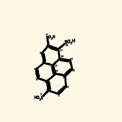 O=S(=O)(O)c1cc2ccc3c(S(=O)(=O)O)ccc4ccc(c1S(=O)(=O)O)c2c43